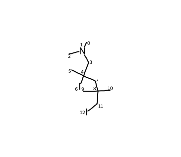 CN(C)CC(C)(I)CC(C)(C)CI